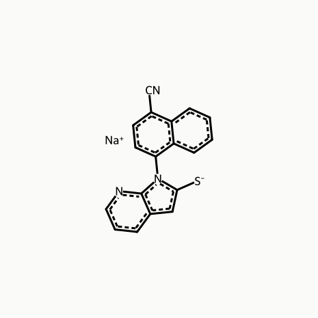 N#Cc1ccc(-n2c([S-])cc3cccnc32)c2ccccc12.[Na+]